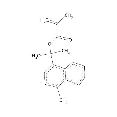 C=C(C)C(=O)OC(C)(C)c1ccc(C)c2ccccc12